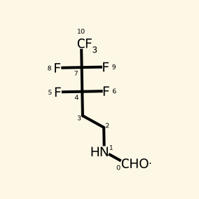 O=[C]NCCC(F)(F)C(F)(F)C(F)(F)F